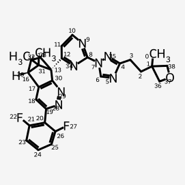 CC1(CCc2ncn(-c3nccc([C@]45CC[C@@H](c6cc(-c7c(F)cccc7F)nnc64)C5(C)C)n3)n2)COC1